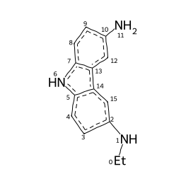 CCNc1ccc2[nH]c3ccc(N)cc3c2c1